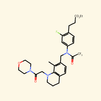 CCOC(=O)CCc1ccc(N(Cc2ccc3c(c2C)N(CC(=O)N2CCOCC2)CCC3)C(=O)C(F)(F)F)cc1F